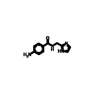 Nc1ccc(C(=O)NCc2ncc[nH]2)cc1